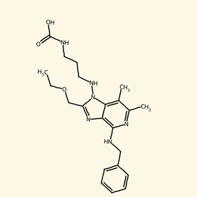 CCOCc1nc2c(NCc3ccccc3)nc(C)c(C)c2n1NCCCNC(=O)O